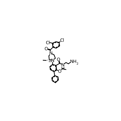 CCOc1c(-c2ccccc2)ccc(N2CCN(C(=O)c3ccc(Cl)cc3Cl)C[C@H]2CC)c1C(=O)NCCN